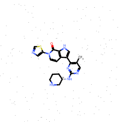 O=c1c2[nH]cc(-c3nc(N[C@H]4CCCNC4)ncc3C(F)(F)F)c2ccn1-c1cncs1